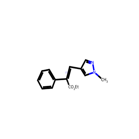 CCOC(=O)/C(=C\c1cnn(C)c1)c1ccccc1